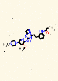 C=CC(=O)Nc1cccc(CCc2nc(Nc3ncc(N4CCN(C)CC4)cc3OC)nc3ccnn23)c1